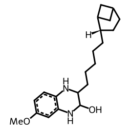 COc1ccc2c(c1)NC(O)C(CCCCC[C@H]1CCC3CC1C3)N2